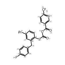 CC(C)c1ccc(SC(=O)OC(=O)c2ccc(C(F)(F)F)nc2)c(Cc2ccc(F)cc2)c1